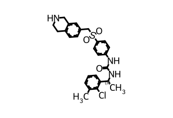 Cc1cccc([C@H](C)NC(=O)Nc2ccc(S(=O)(=O)Cc3ccc4c(c3)CNCC4)cc2)c1Cl